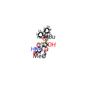 COCCOC1C(O)[C@H](CO[Si](c2ccccc2)(c2ccccc2)C(C)(C)C)S[C@H]1n1ccc(=O)[nH]c1=O